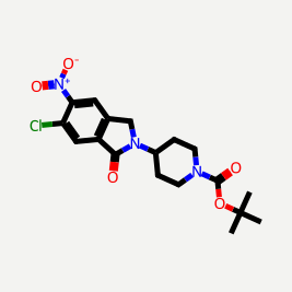 CC(C)(C)OC(=O)N1CCC(N2Cc3cc([N+](=O)[O-])c(Cl)cc3C2=O)CC1